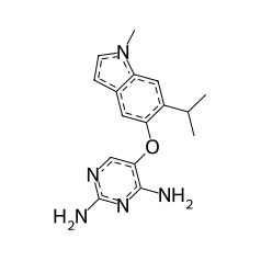 CC(C)c1cc2c(ccn2C)cc1Oc1cnc(N)nc1N